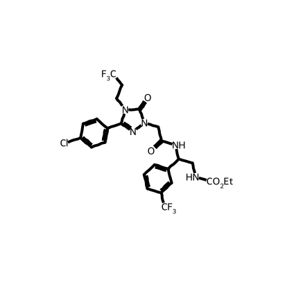 CCOC(=O)NCC(NC(=O)Cn1nc(-c2ccc(Cl)cc2)n(CCC(F)(F)F)c1=O)c1cccc(C(F)(F)F)c1